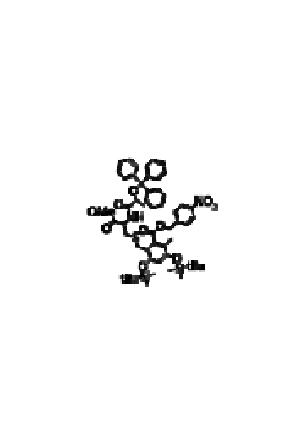 COC(=O)C(CSCc1c(O[Si](C)(C)C(C)(C)C)cc(O[Si](C)(C)C(C)(C)C)c(C)c1C(=O)OCc1ccc([N+](=O)[O-])cc1)NC(=O)C(C)OC(c1ccccc1)(c1ccccc1)c1ccccc1